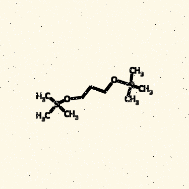 C[Si](C)(C)OCCCO[Si](C)(C)C